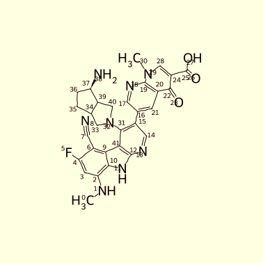 CNc1cc(F)c(C#N)c2c1[nH]c1ncc(-c3cnc4c(c3)c(=O)c(C(=O)O)cn4C)c(N3CC4CC[C@@H](N)C4C3)c12